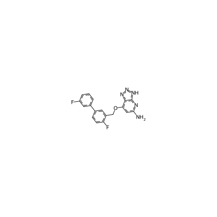 Nc1cc(OCc2cc(-c3cccc(F)c3)ccc2F)c2nn[nH]c2n1